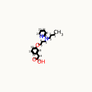 CCCCN(CCCOc1cccc(CC(=O)O)c1)c1ccccn1